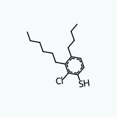 CCCCCCc1c(CCCC)ccc(S)c1Cl